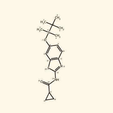 CC(C)(C)[Si](C)(C)Oc1ccc2nc(NC(=O)C3CC3)sc2c1